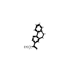 C=C(C(=O)OCC)c1ccc2c(c1)CCc1ccccc1-2